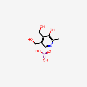 Cc1ncc(CO)c(CO)c1O.O=[PH](O)O